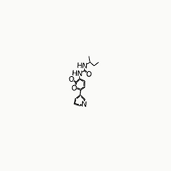 CCC(C)NC(=O)Nc1ccc(-c2cccnc2)oc1=O